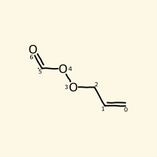 C=CCOO[C]=O